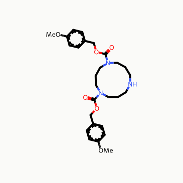 COc1ccc(COC(=O)N2CCCNCCCN(C(=O)OCc3ccc(OC)cc3)CCC2)cc1